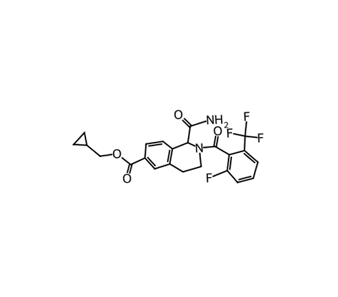 NC(=O)C1c2ccc(C(=O)OCC3CC3)cc2CCN1C(=O)c1c(F)cccc1C(F)(F)F